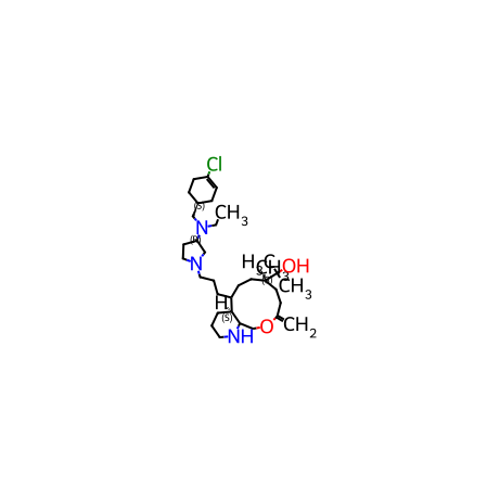 C=C1CC[C@@](C)(C(C)(C)O)CCC(CCCN2CC[C@@H](N(CC)C[C@@H]3CC=C(Cl)CC3)C2)[C@@H]2CCCNC2CO1